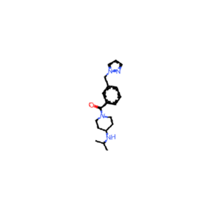 CC(C)NC1CCN(C(=O)c2cccc(Cn3cccn3)c2)CC1